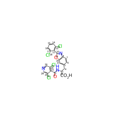 O=C(NC(Cc1ccc2nc(-c3c(Cl)cccc3Cl)oc2c1)C(=O)O)c1c(Cl)cncc1Cl